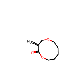 C=C1COCCCCCOC1=O